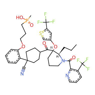 CCC[C@H]1N(C(=O)c2ncccc2C(F)(F)F)CCC[C@@]1(Oc1csc(C(F)(F)F)c1)C(=O)C1CCC(C#N)(c2ccccc2OCCCP(C)(=O)O)CC1